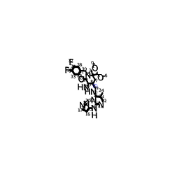 COCC1(COC)C/C(=C/Nc2nc(Nc3ccnn3C)ncc2C)C(=N)C(=O)N1Cc1ccc(F)c(F)c1